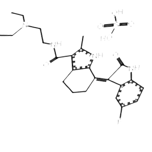 CCN(CC)CCNC(=O)c1c(C)[nH]c2c1CCCC2=C1C(=O)Nc2ccc(F)cc21.O=S(=O)(O)O